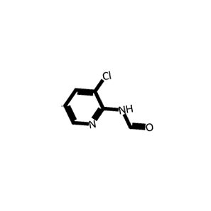 O=CNc1nc[c]cc1Cl